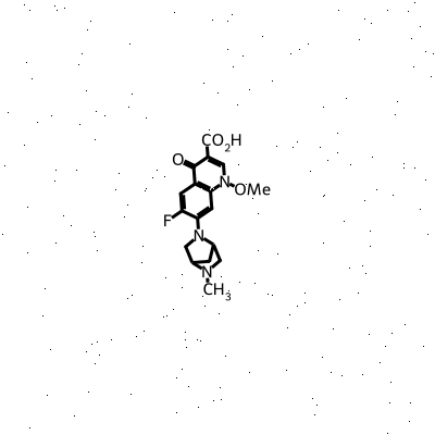 COn1cc(C(=O)O)c(=O)c2cc(F)c(N3CC4CC3CN4C)cc21